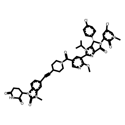 COc1ncc(C(=O)N2CCC(C#Cc3ccc4c(c3)n(C)c(=O)n4C3CCC(=O)NC3=O)CC2)cc1-c1nc2c(n1C(C)C)[C@H](c1ccc(Cl)cc1)N(c1cc(Cl)cn(C)c1=O)C2=O